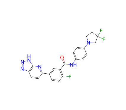 O=C(Nc1ccc(N2CCC(F)(F)C2)cc1)c1cc(-c2ccc3nn[nH]c3n2)ccc1F